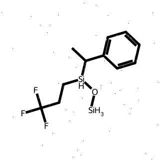 CC(c1ccccc1)[SiH](CCC(F)(F)F)O[SiH3]